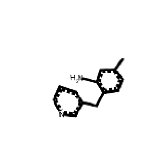 Cc1ccc(Cc2cccnc2)c(N)c1